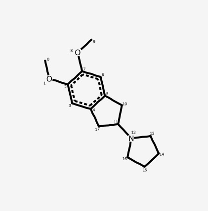 COc1cc2c(cc1OC)CC(N1CCCC1)C2